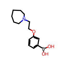 OB(O)c1cccc(OCCN2CCCCCC2)c1